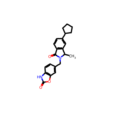 CC1c2cc(C3CCCC3)ccc2C(=O)N1Cc1ccc2[nH]c(=O)oc2c1